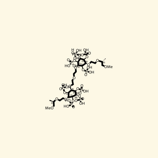 COC[C@@H](C)OCCO[C@@H]1[C@@H](OP(=O)(O)O)[C@@H](OCCOCCO[C@@H]2[C@H](OP(=O)(O)O)[C@@H](OCCO[C@H](C)COC)[C@H](OP(=O)(O)O)[C@@H](O[PH](O)(O)O)[C@@H]2OP(=O)(O)O)[C@@H](OP(=O)(O)O)[C@H](OP(=O)(O)O)[C@H]1OP(=O)(O)O